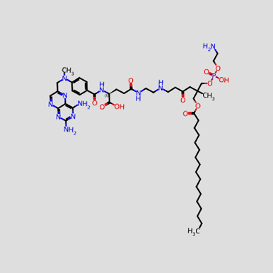 CCCCCCCCCCCCCCCCC(=O)OCC(C)(COP(=O)(O)OCCN)CC(=O)CCNCCNC(=O)CC[C@H](NC(=O)c1ccc(N(C)Cc2cnc3nc(N)nc(N)c3n2)cc1)C(=O)O